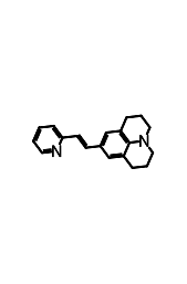 C(=C\c1ccccn1)/c1cc2c3c(c1)CCCN3CCC2